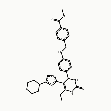 CCC1=C(c2nc(C3CCCCC3)cs2)C(c2ccc(NCc3ccc(C(=O)OC)cc3)cc2)NC(=O)N1